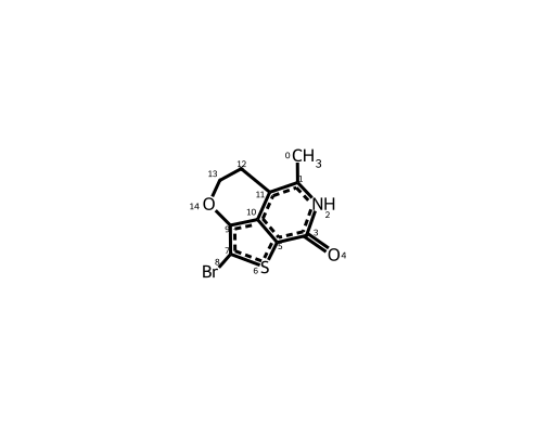 Cc1[nH]c(=O)c2sc(Br)c3c2c1CCO3